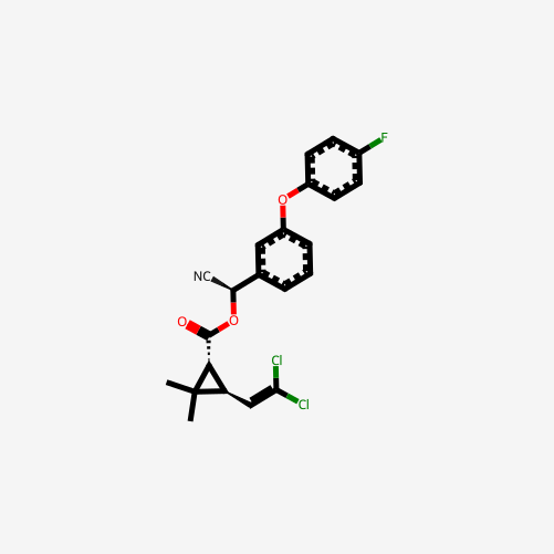 CC1(C)[C@H](C=C(Cl)Cl)[C@H]1C(=O)O[C@@H](C#N)c1cccc(Oc2ccc(F)cc2)c1